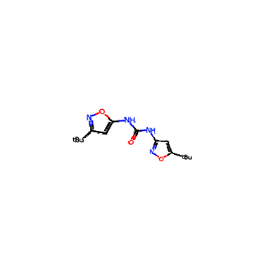 CC(C)(C)c1cc(NC(=O)Nc2cc(C(C)(C)C)on2)on1